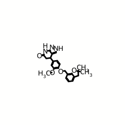 COc1cc(C2CC(=O)Nc3n[nH]cc32)ccc1OCc1cccc2c1OC(C)(C)C2